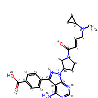 CN(C/C=C/C(=O)N1CCC(n2nc(-c3ccc(C(=O)O)cc3)c3c(N)ncnc32)C1)C1CC1